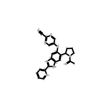 CC(=O)N1CCCC1c1cc2[nH]c(-c3ccccn3)nc2cc1Oc1cnc(C#N)nc1